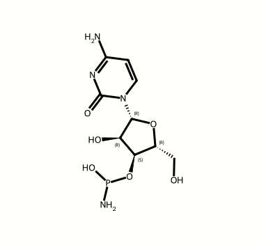 Nc1ccn([C@@H]2O[C@H](CO)[C@@H](OP(N)O)[C@H]2O)c(=O)n1